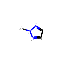 CC(=O)n1nccn1